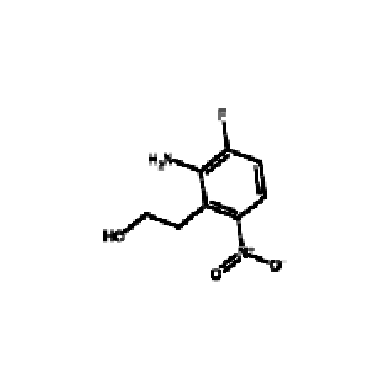 Nc1c(F)ccc([N+](=O)[O-])c1CCO